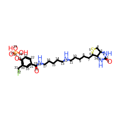 O=C1NC2CSC(CCCCCNCCCCCNC(=O)c3ccc(OP(=O)(O)O)c(CF)c3)C2N1